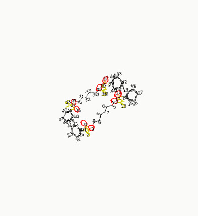 O=S(=S)(OCCCCCCOS(=O)(=S)c1ccccc1)c1ccccc1.O=S(=S)(OCCCCCOS(=O)(=S)c1ccccc1)c1ccccc1